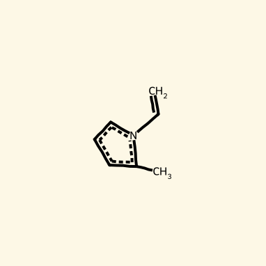 C=Cn1cccc1C